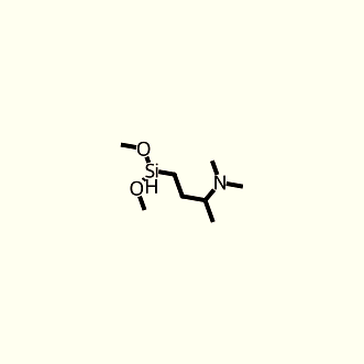 CO[SiH](CCC(C)N(C)C)OC